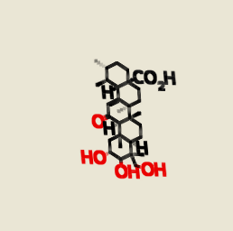 C[C@H]1[C@H](C)CC[C@]2(C(=O)O)CC[C@]3(C)C(=CC(=O)[C@@H]4[C@@]5(C)C[C@@H](O)[C@H](O)[C@@](C)(CO)[C@@H]5CC[C@]43C)[C@H]12